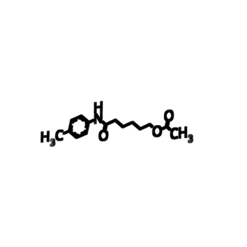 CC(=O)OCCCCCC(=O)Nc1ccc(C)cc1